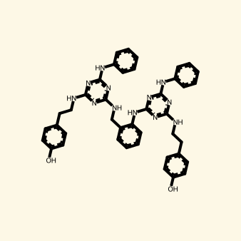 Oc1ccc(CCNc2nc(NCc3ccccc3Nc3nc(NCCc4ccc(O)cc4)nc(Nc4ccccc4)n3)nc(Nc3ccccc3)n2)cc1